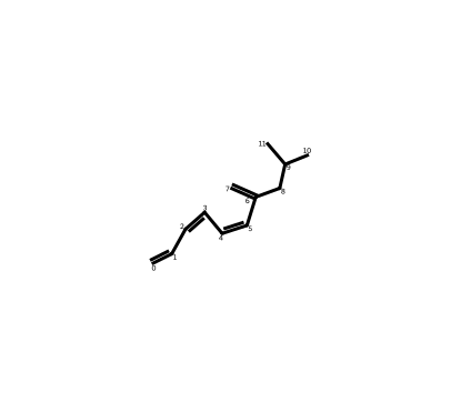 C=C/C=C\C=C/C(=C)CC(C)C